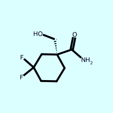 NC(=O)[C@@]1([CH]O)CCCC(F)(F)C1